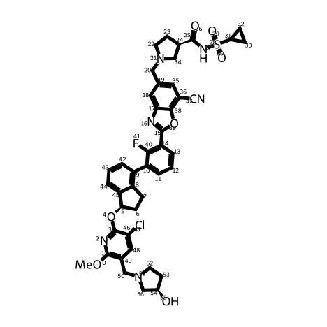 COc1nc(O[C@@H]2CCc3c(-c4cccc(-c5nc6cc(CN7CC[C@@H](C(=O)NS(=O)(=O)C8CC8)C7)cc(C#N)c6o5)c4F)cccc32)c(Cl)cc1CN1CC[C@@H](O)C1